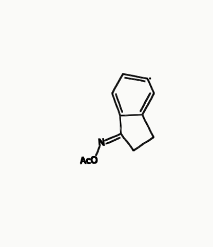 CC(=O)O/N=C1\CCc2c[c]ccc21